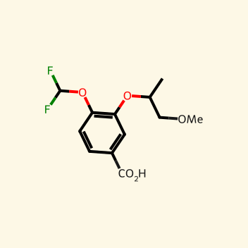 COCC(C)Oc1cc(C(=O)O)ccc1OC(F)F